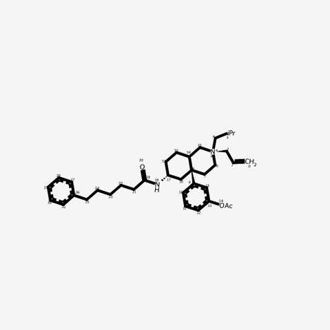 C=CC[N@@+]1(CC(C)C)CC[C@]2(c3cccc(OC(C)=O)c3)C[C@H](NC(=O)CCCCCc3ccccc3)CCC2C1